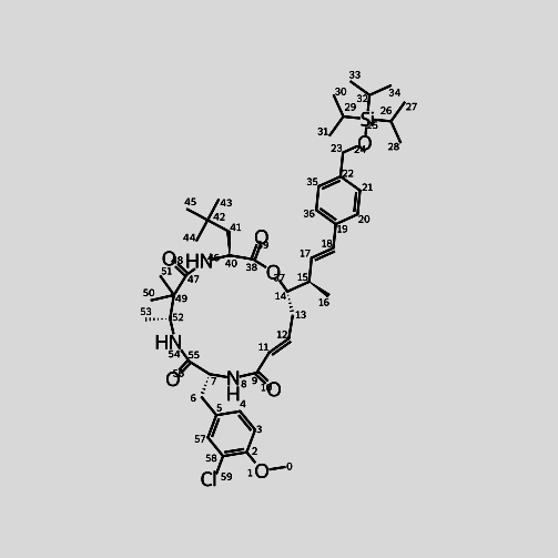 COc1ccc(C[C@H]2NC(=O)/C=C/C[C@@H]([C@H](C)/C=C/c3ccc(CO[Si](C(C)C)(C(C)C)C(C)C)cc3)OC(=O)[C@H](CC(C)(C)C)NC(=O)C(C)(C)[C@@H](C)NC2=O)cc1Cl